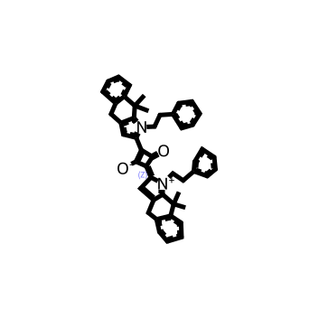 CC1(C)C2=[N+](CCc3ccccc3)/C(=C3\C(=O)C(c4cc5c(n4CCc4ccccc4)C(C)(C)c4ccccc4C5)=C3[O-])C=C2Cc2ccccc21